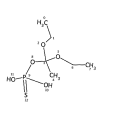 CCOC(C)(OCC)OP(O)(O)=S